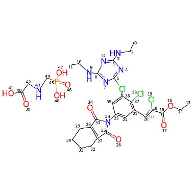 CCNc1nc(Cl)nc(NCC)n1.CCOC(=O)/C(Cl)=C/c1cc(N2C(=O)C3=C(CCCC3)C2=O)ccc1Cl.O=C(O)CNCP(=O)(O)O